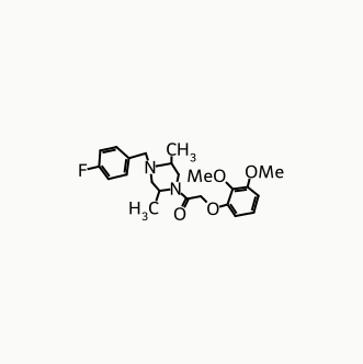 COc1cccc(OCC(=O)N2CC(C)N(Cc3ccc(F)cc3)CC2C)c1OC